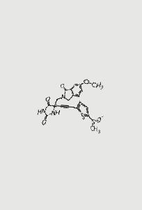 COc1ccc2c(c1)C(=O)N(C[C@@]1(C#Cc3ccc([S+](C)[O-])s3)NC(=O)NC1=O)C2